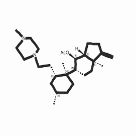 C=C1CC[C@H]2[C@H](OC(C)=O)[C@@H]([C@@]3(C)CC[C@H](C)C[C@@H]3CCN3CCN(C)CC3)CC[C@]12C